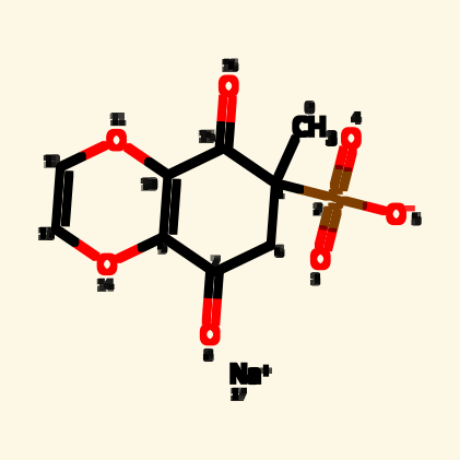 CC1(S(=O)(=O)[O-])CC(=O)C2=C(OC=CO2)C1=O.[Na+]